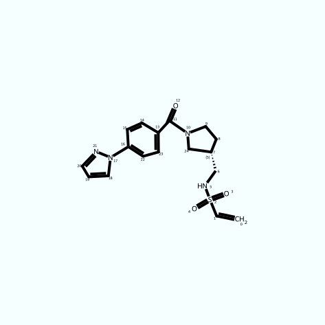 C=CS(=O)(=O)NC[C@H]1CCN(C(=O)c2ccc(-n3cccn3)cc2)C1